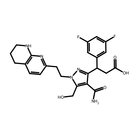 NC(=O)c1c(C(CC(=O)O)c2cc(F)cc(F)c2)nn(CCc2ccc3c(n2)NCCC3)c1CO